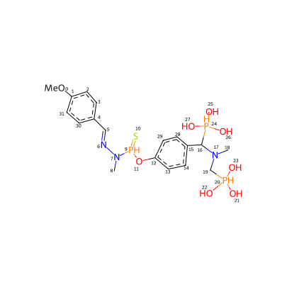 COc1ccc(/C=N/N(C)[PH](=S)Oc2ccc(C(N(C)C[PH](O)(O)O)[PH](O)(O)O)cc2)cc1